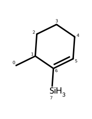 CC1CCCC=C1[SiH3]